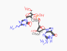 COC1C(OP(=O)(O)OC[C@H]2O[C@@H](n3cnc4c(=O)[nH]c(N)nc43)[C@@H](OC)C2O)[C@@H](CO)O[C@H]1n1cnc(N)nc1=O